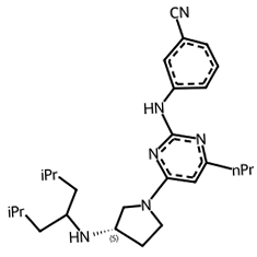 CCCc1cc(N2CC[C@H](NC(CC(C)C)CC(C)C)C2)nc(Nc2cccc(C#N)c2)n1